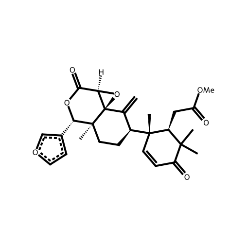 C=C1[C@@H]([C@@]2(C)C=CC(=O)C(C)(C)[C@@H]2CC(=O)OC)CC[C@@]2(C)[C@H](c3ccoc3)OC(=O)[C@H]3O[C@]132